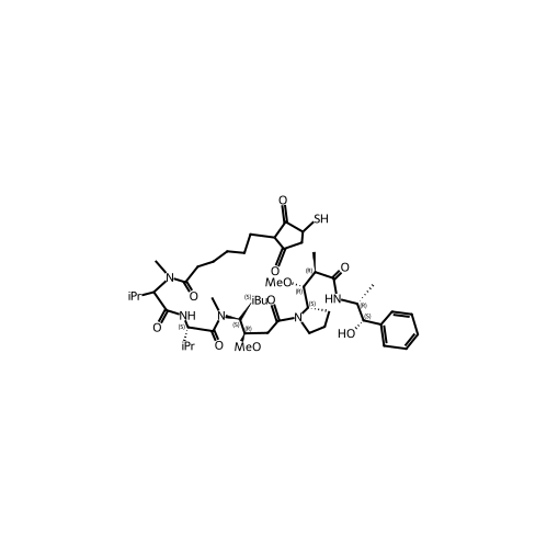 CC[C@H](C)[C@@H]([C@@H](CC(=O)N1CCC[C@H]1[C@H](OC)[C@@H](C)C(=O)N[C@H](C)[C@@H](O)c1ccccc1)OC)N(C)C(=O)[C@@H](NC(=O)C(C(C)C)N(C)C(=O)CCCCCC1C(=O)CC(S)C1=O)C(C)C